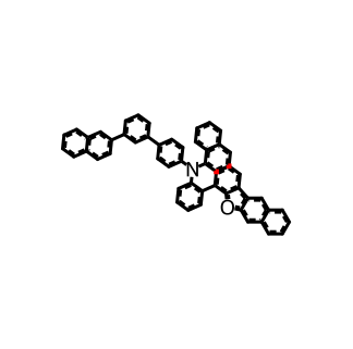 c1cc(-c2ccc(N(c3ccccc3-c3cccc4c3oc3cc5ccccc5cc34)c3cccc4ccccc34)cc2)cc(-c2ccc3ccccc3c2)c1